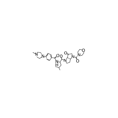 CC(C)CC(NC(=O)c1ccc(N2CCN(C)CC2)cc1)C(=O)N1CCC2C1C(=O)CN2C(=O)N1CCOCC1